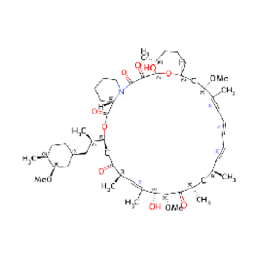 CO[C@H]1C[C@@H]2CCC[C@@H](C)[C@@](O)(O2)C(=O)C(=O)N2CCCC[C@H]2C(=O)O[C@H]([C@H](C)C[C@@H]2CC[C@H](C)[C@H](OC)C2)CC(=O)[C@H](C)/C=C(\C)[C@@H](O)[C@@H](OC)C(=O)[C@@H](C)C[C@H](C)/C=C/C=C/C=C/1C